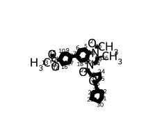 CC(=O)N1c2ccc(-c3ccc(S(C)(=O)=O)cc3)cc2N(C(=O)C2CCC(c3ccccc3)O2)C[C@@H]1C